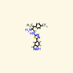 C[C@H](c1ccc(C(F)(F)F)cc1)[C@@H](N)CNc1nnc(-c2ccc3[nH]ncc3c2)s1